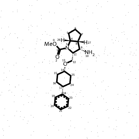 COC(=O)N1[C@@H]2CCC[C@@H]2[C@H](N)[C@@H]1CO[C@H]1CC[C@@H](c2ccccc2)CC1